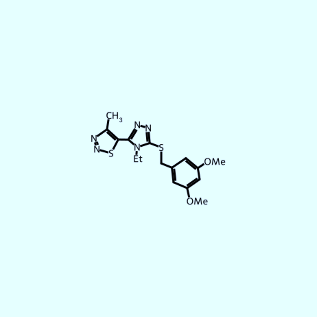 CCn1c(SCc2cc(OC)cc(OC)c2)nnc1-c1snnc1C